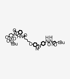 CC(C)(C)OC(=O)N1C(=O)CCC(N2Cc3c(NC(=O)CCCCOc4ccc5c(c4)ncn5-c4ccc(NC(=O)Nc5cc(C(C)(C)C)on5)cc4)cccc3C2=O)C1=O